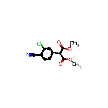 COC(=O)C(C(=O)OC)c1ccc(C#N)c(Cl)c1